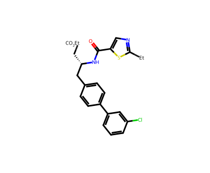 CCOC(=O)C[C@@H](Cc1ccc(-c2cccc(Cl)c2)cc1)NC(=O)c1cnc(CC)s1